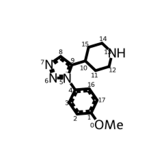 COc1ccc(-n2nncc2C2CCNCC2)cc1